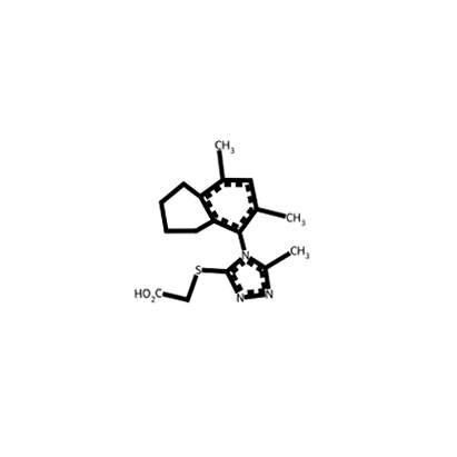 Cc1cc(C)c(-n2c(C)nnc2SCC(=O)O)c2c1CCCC2